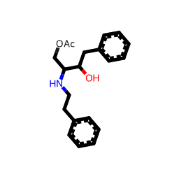 CC(=O)OCC(NCCc1ccccc1)C(O)Cc1ccccc1